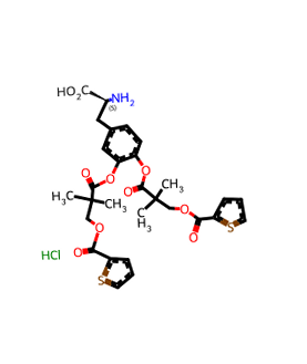 CC(C)(COC(=O)c1cccs1)C(=O)Oc1ccc(C[C@H](N)C(=O)O)cc1OC(=O)C(C)(C)COC(=O)c1cccs1.Cl